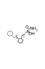 NC(=O)N(O)C/C=C/c1ccccc1SCC1CCCCC1